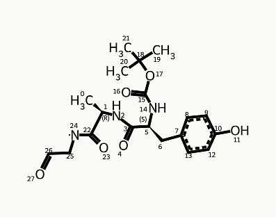 C[C@@H](NC(=O)[C@H](Cc1ccc(O)cc1)NC(=O)OC(C)(C)C)C(=O)[N]CC=O